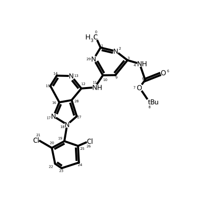 Cc1nc(NC(=O)OC(C)(C)C)cc(Nc2nccc3nn(-c4c(Cl)cccc4Cl)cc23)n1